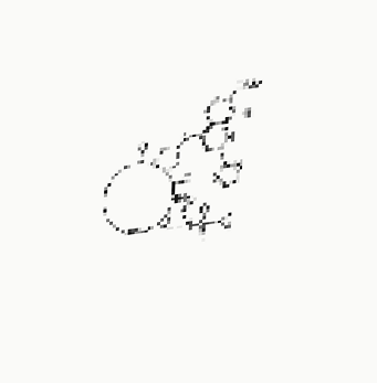 COc1ccc2c(OC3CC4C(=O)NC5(C(=O)NS(=O)(=O)C6CC6)CC5/C=C\CCCCCCC(=O)N4C3)cc(-c3nccs3)nc2c1Br